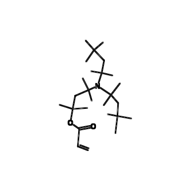 C=CC(=O)OC(C)(C)CC(C)(C)N(C(C)(C)CC(C)(C)C)C(C)(C)CC(C)(C)C